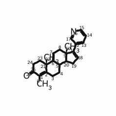 CC1=C2CCC3C(CC[C@]4(C)C(c5cccnc5)=CCC34)[C@@]2(C)CCC1=O